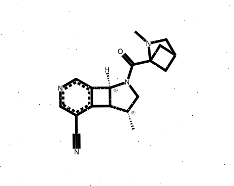 C[C@H]1CN(C(=O)C23CC(CN2C)C3)[C@@H]2c3cncc(C#N)c3C21